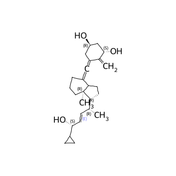 C=C1C(=C=C2CCC[C@@]3(C)C2CC[C@@H]3[C@H](C)/C=C/[C@@H](O)C2CC2)C[C@@H](O)C[C@@H]1O